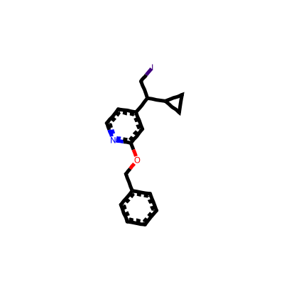 ICC(c1ccnc(OCc2ccccc2)c1)C1CC1